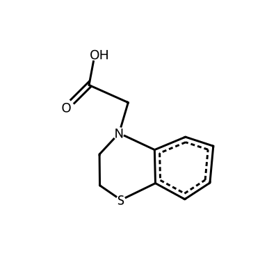 O=C(O)CN1CCSc2ccccc21